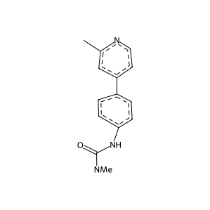 CNC(=O)Nc1ccc(-c2ccnc(C)c2)cc1